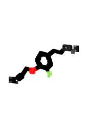 C#CCOc1ccc(CCC(=O)O)cc1F